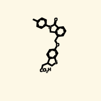 Cc1ccc(N2Cc3c(COc4ccc5c(c4)SCC5CC(=O)O)cccc3C2=O)cc1